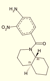 Nc1ccc(C(=O)N2CCC[C@@H]3CCCC[C@H]32)cc1[N+](=O)[O-]